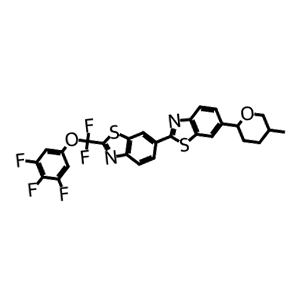 CC1CCC(c2ccc3nc(-c4ccc5nc(C(F)(F)Oc6cc(F)c(F)c(F)c6)sc5c4)sc3c2)OC1